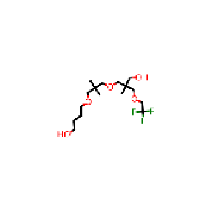 CC(C)(COCCCCO)COCC(C)(CO)COCC(F)(F)F